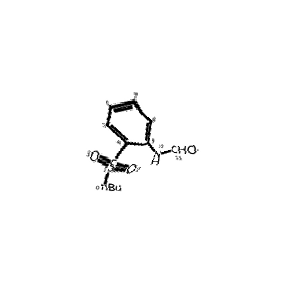 CCCCS(=O)(=O)c1ccccc1N[C]=O